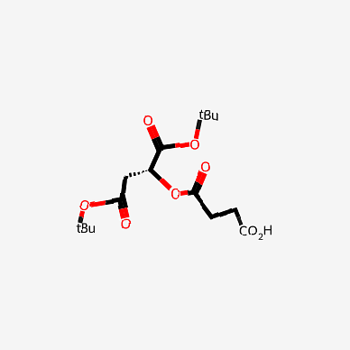 CC(C)(C)OC(=O)C[C@@H](OC(=O)CCC(=O)O)C(=O)OC(C)(C)C